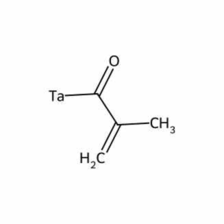 C=C(C)[C](=O)[Ta]